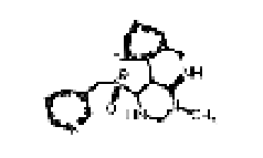 CN1CNC(S(=O)(=O)Cc2cccnc2)C(c2c(F)cccc2F)C1=N